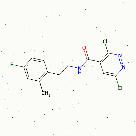 Cc1cc(F)ccc1CCNC(=O)c1cc(Cl)nnc1Cl